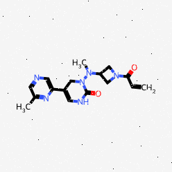 C=CC(=O)N1CC(N(C)N2CC(c3cncc(C)n3)=CNC2=O)C1